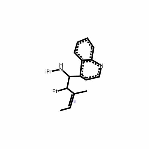 C/C=C(/C)C(CC)C(NC(C)C)c1ccnc2ccccc12